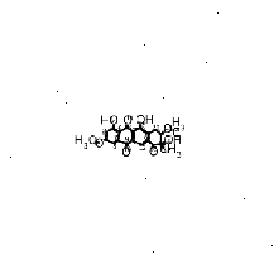 COc1cc(O)c2c(c1)C(=O)c1cc3c(c(O)c1C2=O)CC(OC)C(C)(O)C3=O